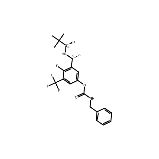 C[C@@H](N[S@+]([O-])C(C)(C)C)c1cc(OC(=O)NCc2ccccc2)cc(C(F)(F)F)c1F